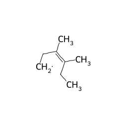 [CH2]CC(C)=C(C)CC